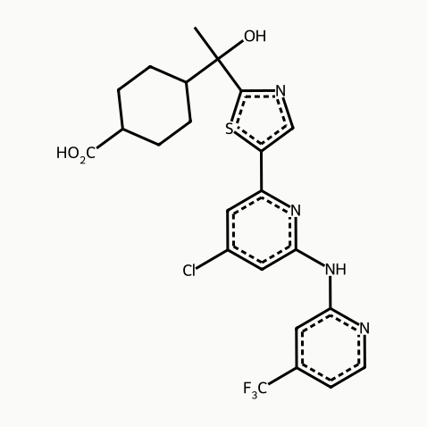 CC(O)(c1ncc(-c2cc(Cl)cc(Nc3cc(C(F)(F)F)ccn3)n2)s1)C1CCC(C(=O)O)CC1